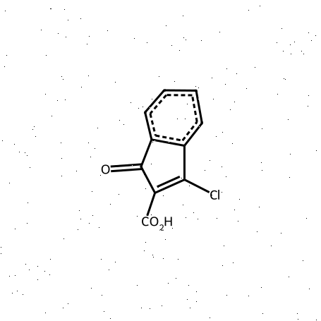 O=C(O)C1=C(Cl)c2ccccc2C1=O